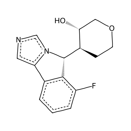 O[C@@H]1COCC[C@H]1[C@@H]1c2c(F)cccc2-c2cncn21